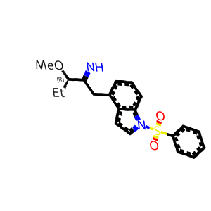 CC[C@@H](OC)C(=N)Cc1cccc2c1ccn2S(=O)(=O)c1ccccc1